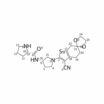 N#Cc1c(N2CC[C@H](NC(=O)[C@@H]3CCCN3)C2)sc2c1CCC1(C2)OCCO1